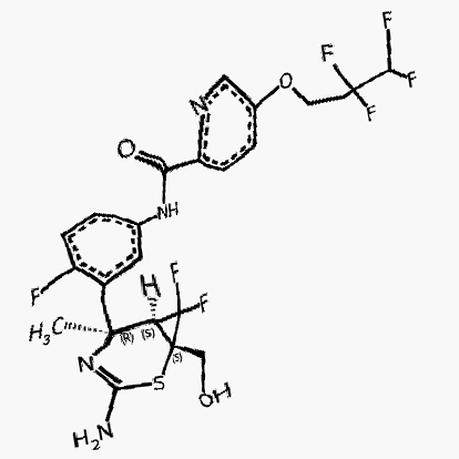 C[C@@]1(c2cc(NC(=O)c3ccc(OCC(F)(F)C(F)F)cn3)ccc2F)N=C(N)S[C@]2(CO)[C@@H]1C2(F)F